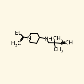 C#CC(C)(C)CNC1CCN(C(=C)CC)CC1